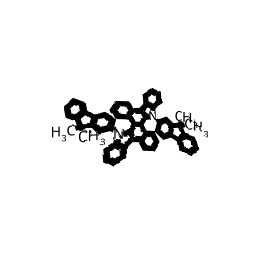 CC1(C)c2ccccc2-c2ccc(-n3c4ccccc4c4c5ccccc5c5c(c6ccccc6c6c7ccccc7n(-c7ccc8c(c7)C(C)(C)c7ccccc7-8)c65)c43)cc21